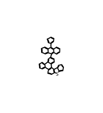 c1ccc(-c2c3ccccc3c(-c3ccc4c(c3)c3ccccc3c3ccc5sc6ccccc6c5c34)c3ccccc23)cc1